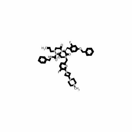 C=CCN1CC(=O)N2[C@@H](Cc3ccc(OCc4ccccc4)cc3F)C(=O)N(Cc3ccc(F)c(N4CC(N5CCN(C)CC5)C4)n3)C[C@@H]2N1C(=O)NCc1ccccc1